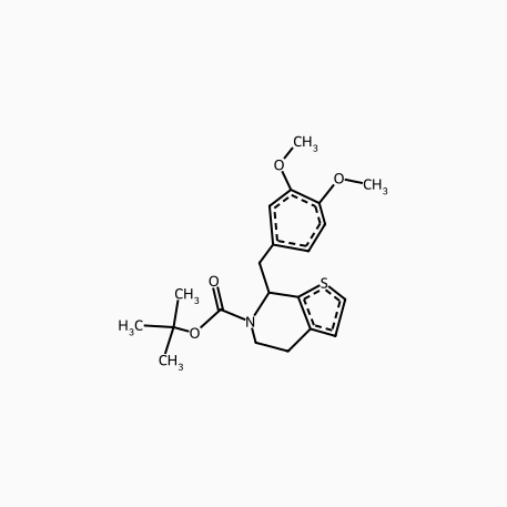 COc1ccc(CC2c3sccc3CCN2C(=O)OC(C)(C)C)cc1OC